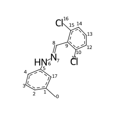 Cc1cccc(NN=Cc2c(Cl)cccc2Cl)c1